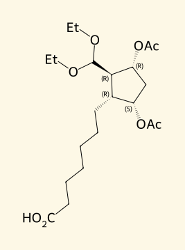 CCOC(OCC)[C@@H]1[C@@H](CCCCCCC(=O)O)[C@@H](OC(C)=O)C[C@H]1OC(C)=O